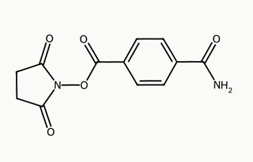 NC(=O)c1ccc(C(=O)ON2C(=O)CCC2=O)cc1